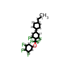 CCCC1CCC(C2CC(F)C(C(F)(F)OC3CC(F)C(F)C(F)C3)C(F)C2)CC1